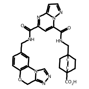 O=C(NCc1ccc2c(c1)-n1cnnc1CO2)c1cc(C(=O)NCC23CCC(C(=O)O)(CC2)CC3)n2nccc2n1